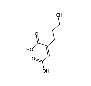 CCCCC(=CC(=O)O)C(=O)O